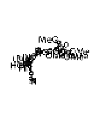 COc1cccc(C(CCc2ccc(OCc3cn(CCOCC(=O)NC(C(=O)N4C[C@H](O)C[C@H]4C(=O)NCc4ccc(-c5scnc5C)cc4)C(C)(C)C)nn3)c(OC)c2)OC(=O)[C@H]2CCCCN2C(=O)C(c2cc(OC)c(OC)c(OC)c2)C2CCCCC2)c1